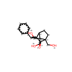 O=C1C(=Cc2ccccc2)C2CCC1(CO)C2(CO)CO